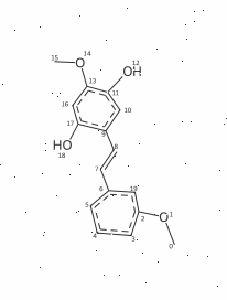 COc1cccc(/C=C/c2cc(O)c(OC)cc2O)c1